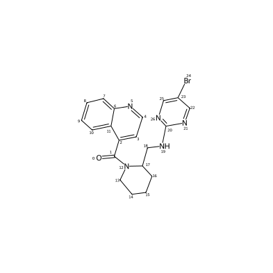 O=C(c1ccnc2ccccc12)N1CCCCC1CNc1ncc(Br)cn1